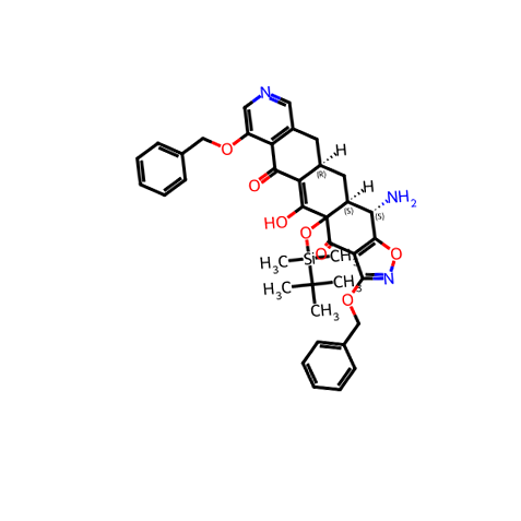 CC(C)(C)[Si](C)(C)OC12C(=O)c3c(OCc4ccccc4)noc3[C@@H](N)[C@@H]1C[C@@H]1Cc3cncc(OCc4ccccc4)c3C(=O)C1=C2O